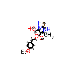 CCOc1ccc(CCOC(=O)C2=C(C)NC(=S)NC2CO)cc1